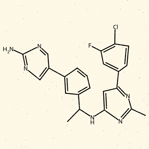 Cc1nc(NC(C)c2cccc(-c3cnc(N)nc3)c2)cc(-c2ccc(Cl)c(F)c2)n1